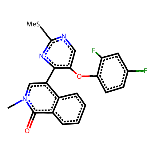 CSc1ncc(Oc2ccc(F)cc2F)c(-c2cn(C)c(=O)c3ccccc23)n1